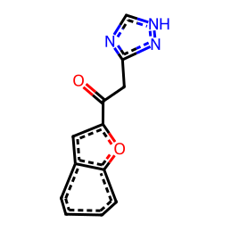 O=C(Cc1nc[nH]n1)c1cc2ccccc2o1